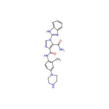 Cc1cc(N2CCNCC2)ccc1NC(=O)c1ncn(-c2nc3ccccc3[nH]2)c1C(N)=O